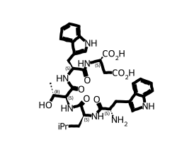 CC(C)C[C@H](NC(=O)[C@@H](N)Cc1c[nH]c2ccccc12)C(=O)N[C@H](C(=O)N[C@@H](Cc1c[nH]c2ccccc12)C(=O)N[C@@H](CC(=O)O)C(=O)O)[C@@H](C)O